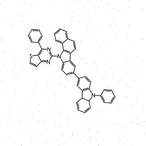 C1=CC2c3cc(-c4ccc5c(c4)c4ccc6ccccc6c4n5-c4nc(-c5ccccc5)c5sccc5n4)ccc3N(c3ccccc3)C2C=C1